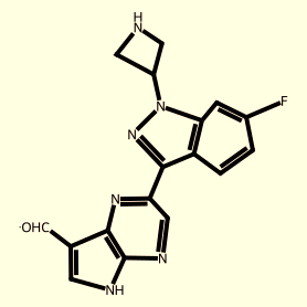 O=[C]c1c[nH]c2ncc(-c3nn(C4CNC4)c4cc(F)ccc34)nc12